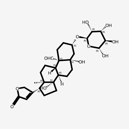 C[C@]12CC[C@H]3[C@@H](CC[C@]4(O)C[C@@H](O[C@@H]5O[C@@H](O)[C@H](O)[C@@H](O)[C@H]5O)CC[C@]34C=O)[C@@]1(O)CC[C@@H]2C1=CC(=O)OC1